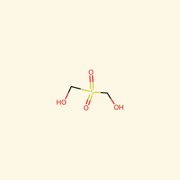 O=S(=O)(CO)CO